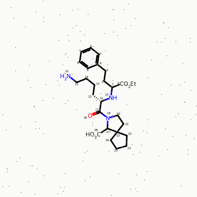 CCOC(=O)C(CCc1ccccc1)N[C@@H](CCCCN)C(=O)N1CCC2(CCCC2)C1C(=O)O